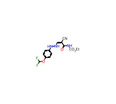 CCOC(=O)NC(=O)C(C#N)=CNNc1ccc(OC(F)F)cc1